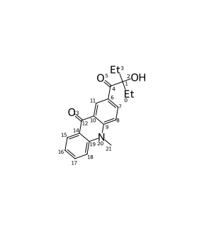 CCC(O)(CC)C(=O)c1ccc2c(c1)c(=O)c1ccccc1n2C